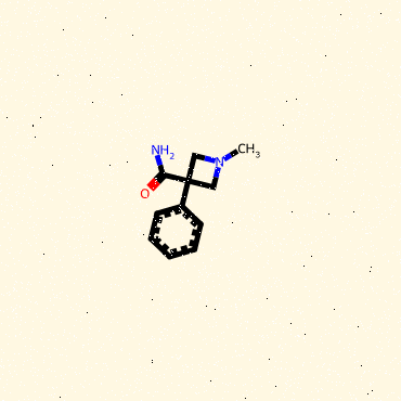 CN1CC(C(N)=O)(c2ccccc2)C1